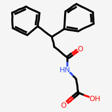 O=C(O)CNC(=O)CC(c1ccccc1)c1ccccc1